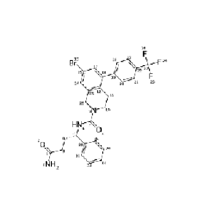 NC(=O)CC[C@H](NC(=O)N1CCc2c(cc(Br)cc2-c2ccc(C(F)(F)F)cc2)C1)c1ccccc1